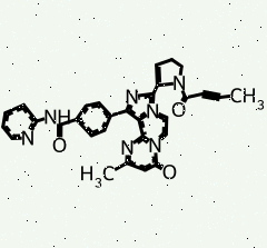 CC#CC(=O)N1CCC=C1c1nc(-c2ccc(C(=O)Nc3ccccn3)cc2)c2c3nc(C)cc(=O)n3ccn12